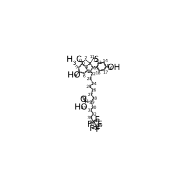 CCCC1(c2ccc(O)cc2)CSc2cc(O)ccc2C1CCCCCCCCC(CCCCC(F)(F)C(F)(F)F)C(=O)O